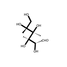 C[C@@](O)([C@](C)(O)CO)[C@](C)(O)[C@@H](O)C=O